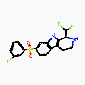 O=S(=O)(c1cccc(F)c1)c1ccc2c3c([nH]c2c1)C(C(F)F)NCC3